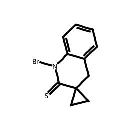 S=C1N(Br)c2ccccc2CC12CC2